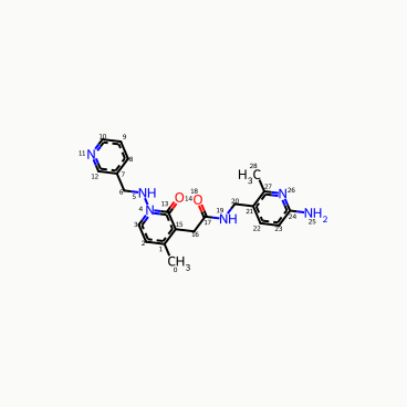 Cc1ccn(NCc2cccnc2)c(=O)c1CC(=O)NCc1ccc(N)nc1C